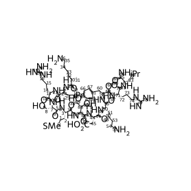 CSCC[C@H](NC(=O)[C@H](CO)NC(=O)[C@H](CCCNC(=N)N)NC(=O)[C@H](CC(C)C)NC(=O)[C@@H](C)CCCCN)C(=O)N[C@H](C(=O)N[C@@H](CC(=O)O)C(=O)N[C@@H](CCCCN)C(=O)N[C@@H](Cc1ccc(O)cc1)C(=O)N[C@@H](CCCNC(=N)N)C(=O)N[C@@H](CC(C)C)C(N)=O)[C@@H](C)O